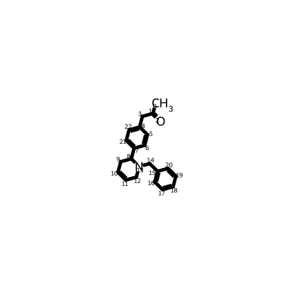 CC(=O)Cc1ccc(C2CC=CCN2Cc2ccccc2)cc1